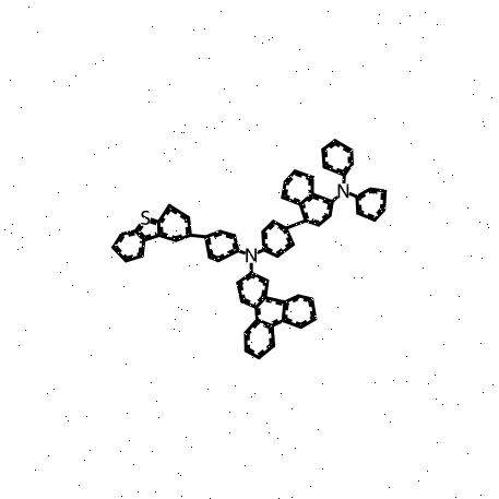 c1ccc(N(c2ccccc2)c2ccc(-c3ccc(N(c4ccc(-c5ccc6sc7ccccc7c6c5)cc4)c4ccc5c6ccccc6c6ccccc6c5c4)cc3)c3ccccc23)cc1